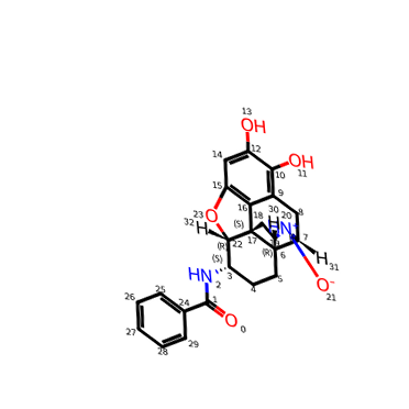 O=C(N[C@H]1CC[C@H]2[C@H]3Cc4c(O)c(O)cc5c4[C@@]2(CC[NH+]3[O-])[C@H]1O5)c1ccccc1